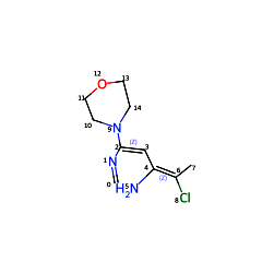 C=N/C(=C\C(N)=C(/C)Cl)N1CCOCC1